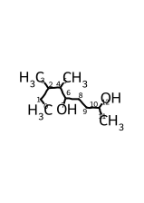 CCC(C)C(C)C(O)CCC(C)O